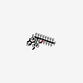 CCOP(=O)(OCC)C(C1C=NCC1C)S(=O)(=O)C(F)(F)C(F)(F)C(F)(F)C(F)(F)C(F)(F)C(F)(F)C(F)(F)C(F)(F)F